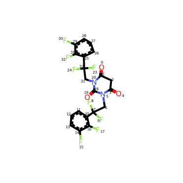 O=C1CC(=O)N(CC(F)(F)c2cccc(F)c2F)C(=O)N1CC(F)(F)c1cccc(F)c1F